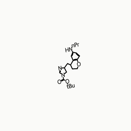 CCCNc1ccc2c(c1)C(CC1CN(C(=O)OC(C)(C)C)C=N1)CCO2